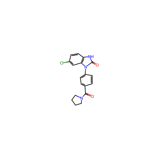 O=C(c1ccc(-n2c(=O)[nH]c3ccc(Cl)cc32)cc1)N1CCCC1